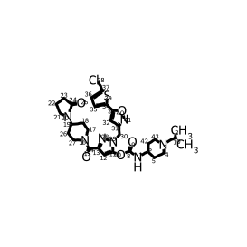 CC(C)N1CCC(NC(=O)Oc2cc(C(=O)N3CCC(N4CCCC4=O)CC3)nn2Cc2cc(-c3ccc(Cl)s3)on2)CC1